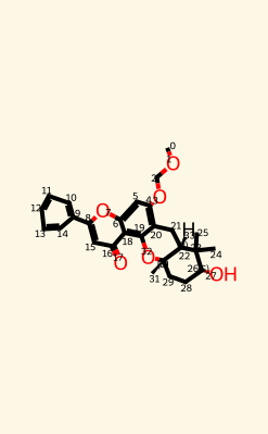 COCOc1cc2oc(-c3ccccc3)cc(=O)c2c2c1C[C@@H]1C(C)(C)[C@@H](O)CC[C@]1(C)O2